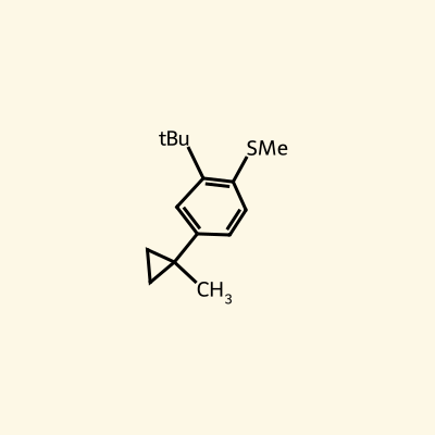 CSc1ccc(C2(C)CC2)cc1C(C)(C)C